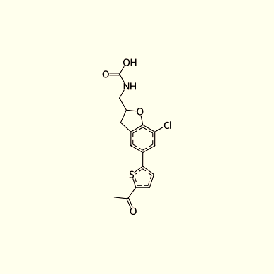 CC(=O)c1ccc(-c2cc(Cl)c3c(c2)CC(CNC(=O)O)O3)s1